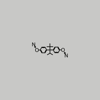 CC(C)C(c1ccc(OC#N)cc1)(c1ccc(OC#N)cc1)C(C)(C)C